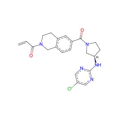 C=CC(=O)N1CCc2cc(C(=O)N3CC[C@@H](Nc4ncc(Cl)cn4)C3)ccc2C1